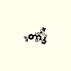 CC(C)(C)OC(=O)NC(CC(=O)N1CCCC1C#N)C(C#N)Cc1ccc([N+](=O)[O-])cc1